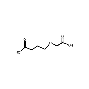 O=C(O)CCCOCC(=O)O